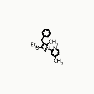 CCOc1nn(-c2cc(C)ccn2)c(C)c1Cc1ccccc1